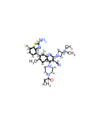 C=CC(=O)N1CCN(c2c(C#N)c(N3CC(N(C)C)C3)nc3c(F)c(-c4ccc(F)c5sc(N)nc45)c(C)cc23)CC1